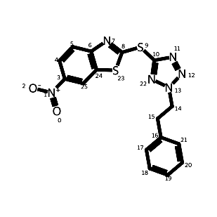 O=[N+]([O-])c1ccc2nc(Sc3nnn(CCc4ccccc4)n3)sc2c1